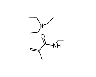 C=C(C)C(=O)NCC.CCN(CC)CC